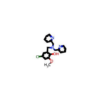 COc1cc(Cl)cc(CN(Cc2ccccn2)Cc2ccccn2)c1O